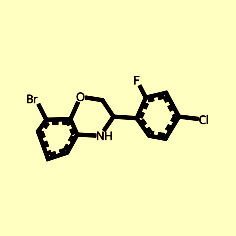 Fc1cc(Cl)ccc1C1COc2c(Br)cccc2N1